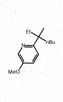 CCCCC(C)(CC)c1ccc(OC)cn1